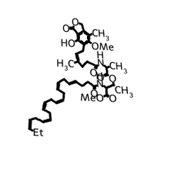 CC/C=C\C/C=C\C/C=C\C/C=C\C/C=C\CC=CCCC(=O)NC(C(=O)OC)C(C)OC(=O)C(C)NC(=O)CC/C(C)=C\Cc1c(O)c2c(c(C)c1OC)COC2=O